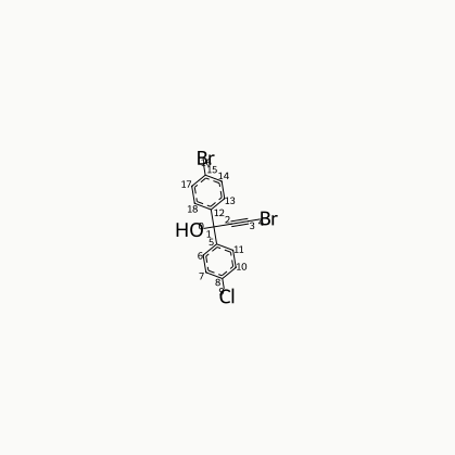 OC(C#CBr)(c1ccc(Cl)cc1)c1ccc(Br)cc1